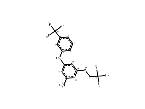 Nc1nc(Nc2cccc(C(F)(F)F)c2)nc(OCC(F)(F)F)n1